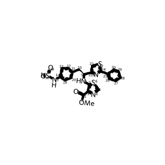 COC(=O)c1ncsc1N[C@@H](Cc1ccc(N[SH](=O)=O)cc1)c1csc(-c2ccccc2)n1